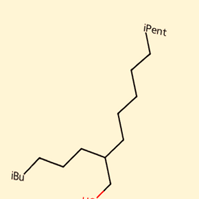 CCCC(C)CCCCCC(CO)CCCC(C)CC